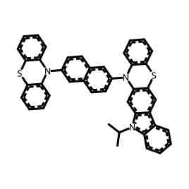 CC(C)n1c2ccccc2c2cc3c(cc21)N(c1ccc2cc(N4c5ccccc5Sc5ccccc54)ccc2c1)c1ccccc1S3